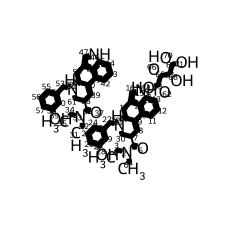 CCN(CC)C(=O)[C@@H]1C=C2c3cccc4[nH]cc(c34)C[C@H]2N(Cc2cccc(O)c2)C1.CCN(CC)C(=O)[C@@H]1C=C2c3cccc4[nH]cc(c34)C[C@H]2N(Cc2cccc(O)c2)C1.O=C(O)C(O)C(O)C(=O)O